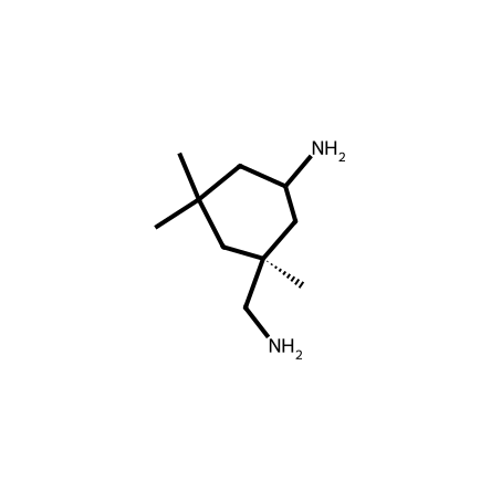 CC1(C)CC(N)C[C@@](C)(CN)C1